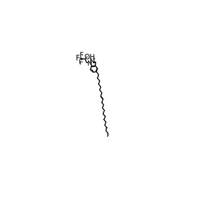 CCCCCCCCCCCCCCCCCCCCCCc1ccc2c(cnn2C[C@H](O)C(F)(F)F)c1